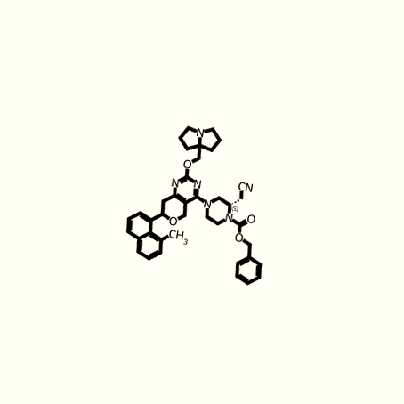 Cc1cccc2cccc(C3Cc4nc(OCC56CCCN5CCC6)nc(N5CCN(C(=O)OCc6ccccc6)[C@@H](CC#N)C5)c4CO3)c12